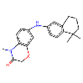 CN1C(=O)COc2cc(Nc3ccc4c(c3)CCCC4(C)C)ccc21